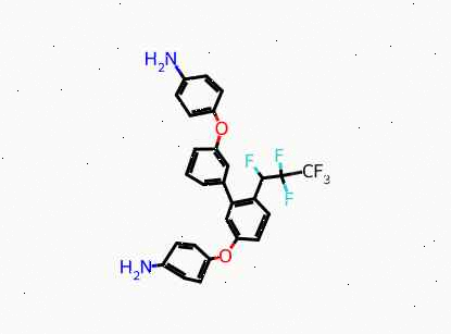 Nc1ccc(Oc2cccc(-c3cc(Oc4ccc(N)cc4)ccc3C(F)C(F)(F)C(F)(F)F)c2)cc1